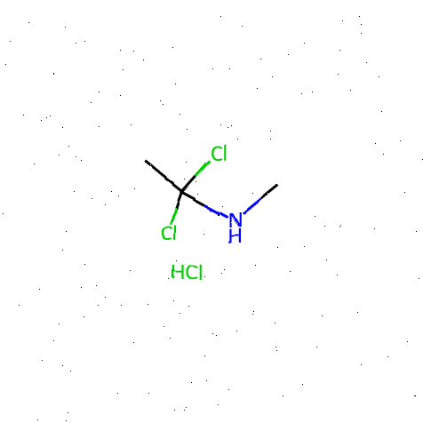 CNC(C)(Cl)Cl.Cl